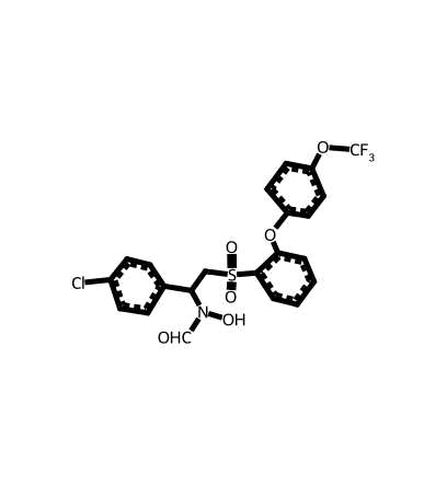 O=CN(O)C(CS(=O)(=O)c1ccccc1Oc1ccc(OC(F)(F)F)cc1)c1ccc(Cl)cc1